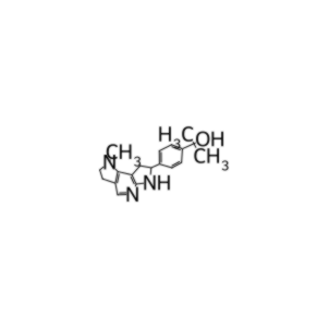 CN1CCc2cnc3c(c21)CC(c1ccc(C(C)(C)O)cc1)N3